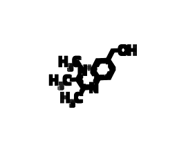 Cc1nc2ccc(CO)cc2[n+](C)c1C